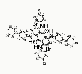 Cc1ccc(Nc2c(Br)cc(Nc3ccc(C4CCCCC4)cc3)c3c2C(=O)c2c(Nc4ccc(C5CCCCC5)cc4)cc(Br)c(Nc4ccc(C)cc4)c2C3=O)cc1